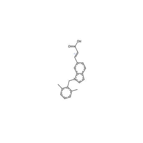 Cc1cccc(C)c1Cn1ccc2ccc(/C=C/C(=O)O)cc21